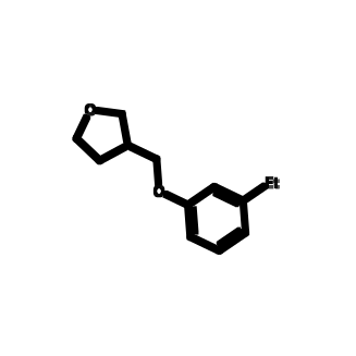 CCc1cccc(OCC2CCOC2)c1